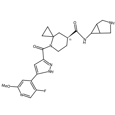 COc1cc(-c2cc(C(=O)N3CC[C@H](C(=O)NC4C5CNCC54)CC34CC4)n[nH]2)c(F)cn1